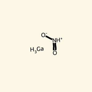 O=[NH+][O-].[GaH3]